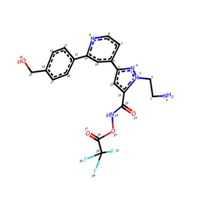 NCCn1nc(-c2ccnc(-c3ccc(CO)cc3)c2)cc1C(=O)NOC(=O)C(F)(F)F